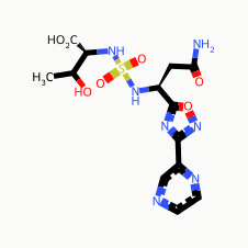 CC(O)[C@H](NS(=O)(=O)N[C@@H](CC(N)=O)c1nc(-c2cnccn2)no1)C(=O)O